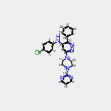 Clc1ccc(Nc2cc(N3CCN(c4ncccn4)CC3)nnc2-c2ccccc2)cc1